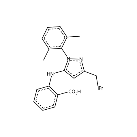 Cc1cccc(C)c1-n1nc(CC(C)C)cc1Nc1ccccc1C(=O)O